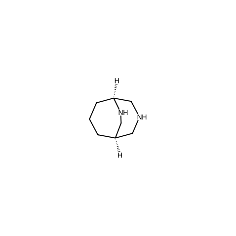 C1C[C@@H]2CNC[C@H](C1)NC2